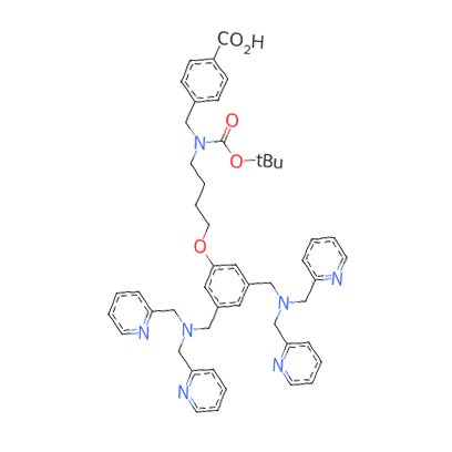 CC(C)(C)OC(=O)N(CCCCOc1cc(CN(Cc2ccccn2)Cc2ccccn2)cc(CN(Cc2ccccn2)Cc2ccccn2)c1)Cc1ccc(C(=O)O)cc1